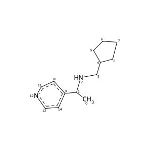 CC(NCC1CCCC1)c1ccncc1